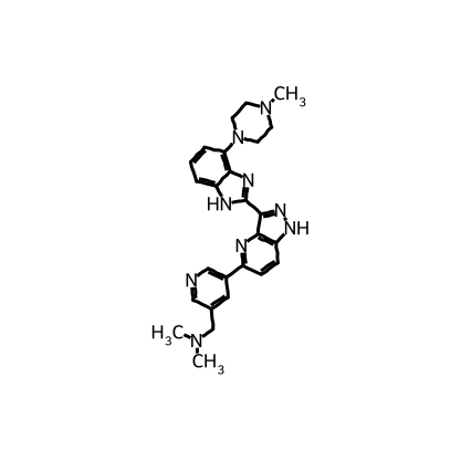 CN(C)Cc1cncc(-c2ccc3[nH]nc(-c4nc5c(N6CCN(C)CC6)cccc5[nH]4)c3n2)c1